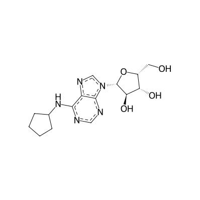 OC[C@H]1O[C@@H](n2cnc3c(NC4CCCC4)ncnc32)[C@H](O)[C@H]1O